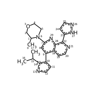 CC1COCCN1c1cc(-c2ccnn2C(C)C)c2ccnc(-c3ccn[nH]3)c2n1